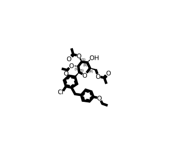 CCOc1ccc(Cc2cc([C@@H]3O[C@H](COC(C)=O)[C@@H](O)[C@H](OC(C)=O)[C@H]3OC(C)=O)ccc2Cl)cc1